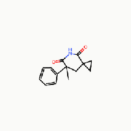 CC1(c2ccccc2)CC2(CC2)C(=O)NC1=O